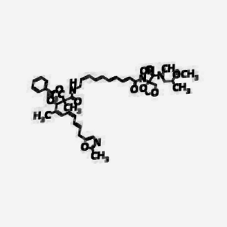 COC(C)CN(C)C(=O)C1(N(O)C(=O)/C=C/C=C/C=C/C=C\CNC(=O)C(C)(C)C(OC(=O)c2ccccc2)\C(C)=C/C=C\C=C\Cc2cnc(C)o2)COCO1